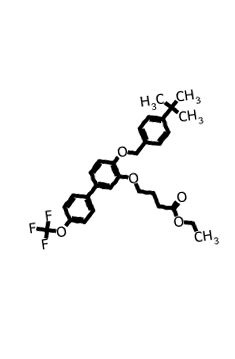 CCOC(=O)CCCOc1cc(-c2ccc(OC(F)(F)F)cc2)ccc1OCc1ccc(C(C)(C)C)cc1